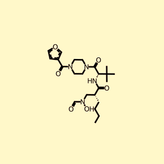 CCCC[C@H](CN(O)C=O)C(=O)N[C@H](C(=O)N1CCN(C(=O)c2ccoc2)CC1)C(C)(C)C